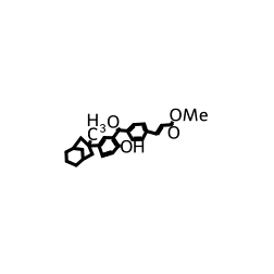 COC(=O)/C=C/c1ccc(C(=O)c2cc(C3(C)CC4CCCC(C4)C3)ccc2O)cc1